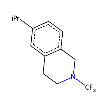 CC(C)c1ccc2c(c1)CCN(C(F)(F)F)C2